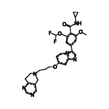 COc1cc(-c2cnc3cc(OCCCN4CCc5ncncc5C4)ccn23)cc(OC(F)F)c1C(=O)NC1CC1